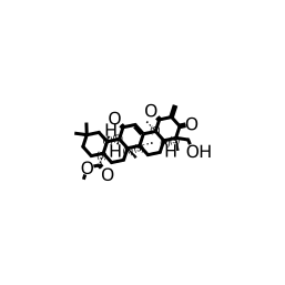 C=C1C(=O)[C@]2(C)C3=CC(=O)[C@@H]4[C@@H]5CC(C)(C)CC[C@]5(C(=O)OC)CC[C@@]4(C)[C@]3(C)CC[C@H]2[C@@](C)(CO)C1=O